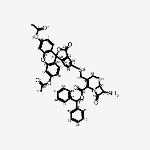 CC(=O)Oc1ccc2c(c1)Oc1cc(OC(C)=O)ccc1C21OC(=O)c2cc(SCC3=C(C(=O)OC(c4ccccc4)c4ccccc4)N4C(=O)C(N)C4SC3)ccc21